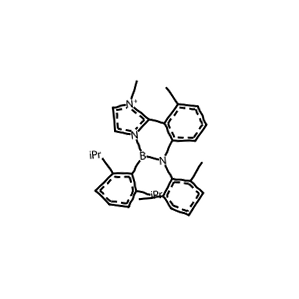 Cc1cccc2c1-c1n(cc[n+]1C)B(c1c(C(C)C)cccc1C(C)C)N2c1c(C)cccc1C